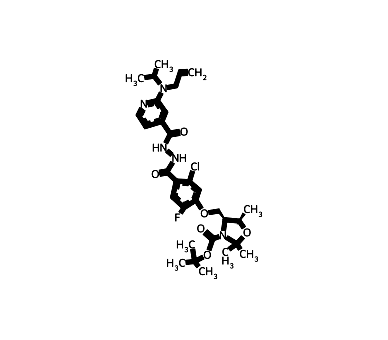 C=CCN(c1cc(C(=O)NNC(=O)c2cc(F)c(OC[C@H]3[C@@H](C)OC(C)(C)N3C(=O)OC(C)(C)C)cc2Cl)ccn1)C(C)C